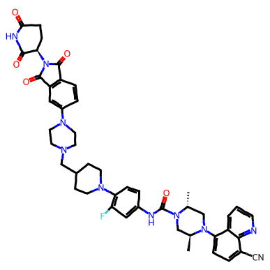 C[C@@H]1CN(c2ccc(C#N)c3ncccc23)[C@@H](C)CN1C(=O)Nc1ccc(N2CCC(CN3CCN(c4ccc5c(c4)C(=O)N([C@@H]4CCC(=O)NC4=O)C5=O)CC3)CC2)c(F)c1